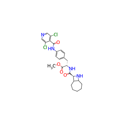 COC(=O)[C@H](Cc1ccc(NC(=O)c2c(Cl)cncc2Cl)cc1)NC(=O)[C@H]1NC2CCCCCC21